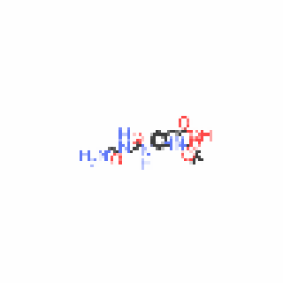 CC(C)(C)OC(=O)NC(Cc1ccc(NC(=O)CNC(=O)CN)cc1)C(=O)O